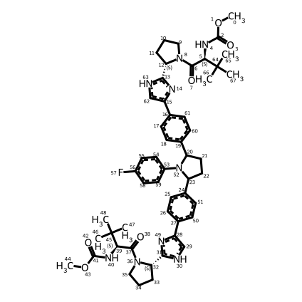 COC(=O)N[C@H](C(=O)N1CCC[C@H]1c1nc(-c2ccc(C3CCC(c4ccc(-c5c[nH]c([C@@H]6CCCN6C(=O)[C@@H](NC(=O)OC)C(C)(C)C)n5)cc4)N3c3ccc(F)cc3)cc2)c[nH]1)C(C)(C)C